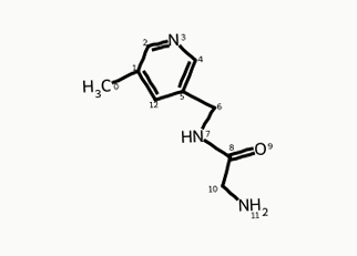 Cc1cncc(CNC(=O)CN)c1